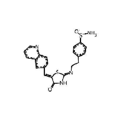 N[S+]([O-])c1ccc(CC/N=C2/NC(=O)/C(=C/c3ccc4ncccc4c3)S2)cc1